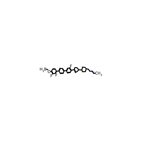 BCOc1ccc(-c2ccc(-c3ccc(C4=CCC(C5CCC(CC/C=C/C)CC5)CC4)c(F)c3)cc2)c(F)c1F